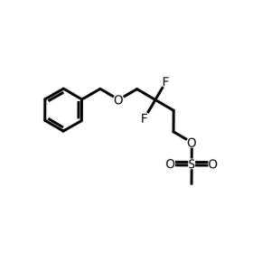 CS(=O)(=O)OCCC(F)(F)COCc1ccccc1